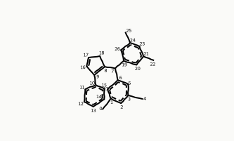 Cc1cc(C)cc(C(C2=C(c3ccccc3)C=CC2)c2cc(C)cc(C)c2)c1